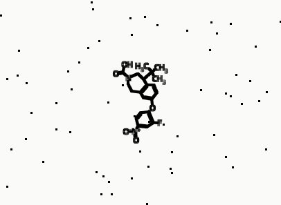 CC(C)(C)C1CN(C(=O)O)CCc2cc(Oc3ccc([N+](=O)[O-])cc3F)ccc21